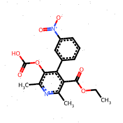 CCOC(=O)c1c(C)nc(C)c(OC(=O)O)c1-c1cccc([N+](=O)[O-])c1